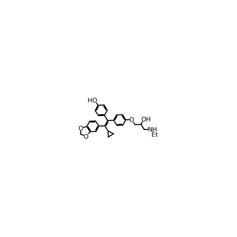 CCNCC(O)COc1ccc(/C(=C(/c2ccc3c(c2)OCO3)C2CC2)c2ccc(O)cc2)cc1